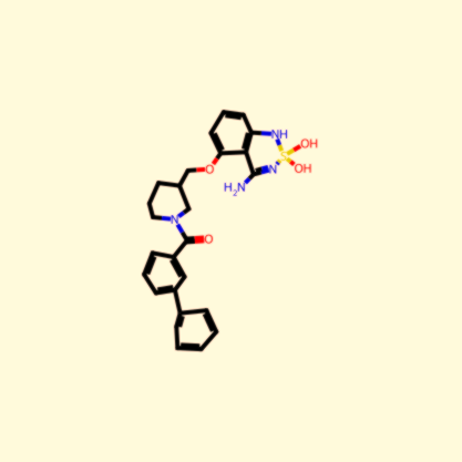 NC1=NS(O)(O)Nc2cccc(OCC3CCCN(C(=O)c4cccc(-c5ccccc5)c4)C3)c21